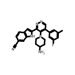 Cc1cc(F)cc(-c2cnnc(-c3cc4ccc(C#N)cc4[nH]3)c2N2CCC(N)CC2)c1